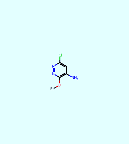 CCOc1nnc(Cl)cc1N